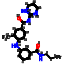 CC(C)CCNC(=O)c1cccc(Nc2ccc(C(=O)N=c3nccc[nH]3)cc2C(F)(F)F)c1